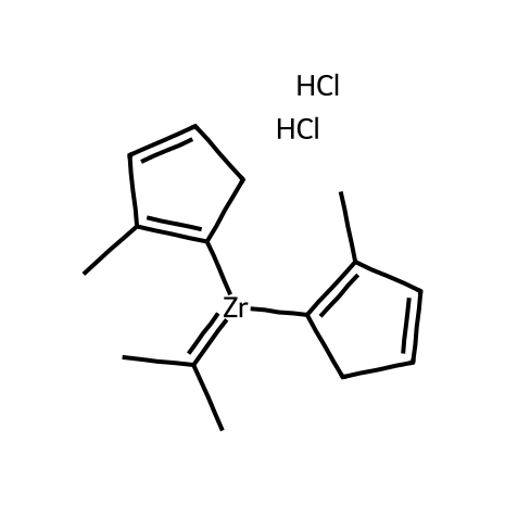 CC1=[C]([Zr]([C]2=C(C)C=CC2)=[C](C)C)CC=C1.Cl.Cl